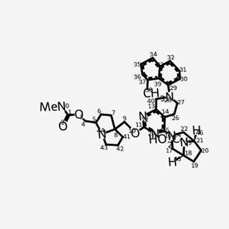 CNC(=O)OCC1CCC2(COc3nc4c(c(N5C[C@H]6CC[C@@H](C5)N6C(=O)O)n3)CCN(c3cccc5cccc(C)c35)C4)CCCN12